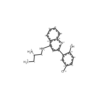 CC[C@H](N)CNc1cc(-c2cc(Cl)ccc2O)nc2ccccc12